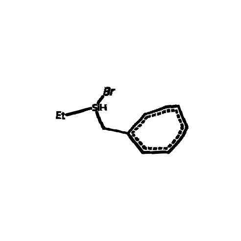 CC[SiH](Br)Cc1ccccc1